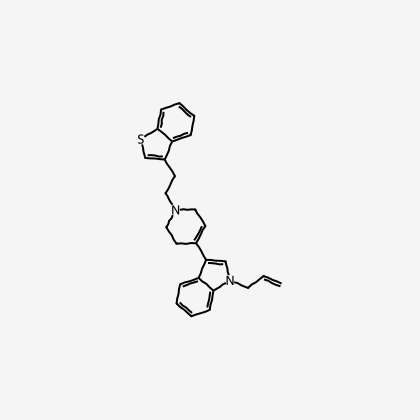 C=CCn1cc(C2=CCN(CCc3csc4ccccc34)CC2)c2ccccc21